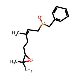 CC(=CC[S+]([O-])Cc1ccccc1)CCC1OC1(C)C